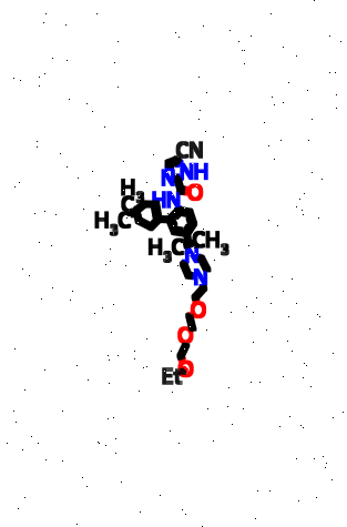 CCOCCOCCOCCN1CCN(C(C)(C)c2ccc(NC(=O)c3ncc(C#N)[nH]3)c(C3=CCC(C)(C)CC3)c2)CC1